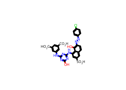 O=C(O)c1cc(Nc2nc(O)nc(Nc3cc(S(=O)(=O)O)cc4ccc(/N=N/c5ccc(Cl)cc5)c(O)c34)n2)cc(C(=O)O)c1